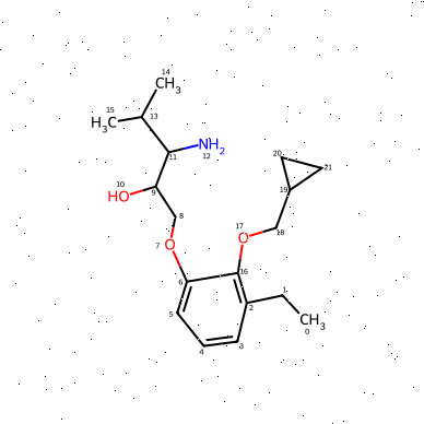 CCc1cccc(OCC(O)C(N)C(C)C)c1OCC1CC1